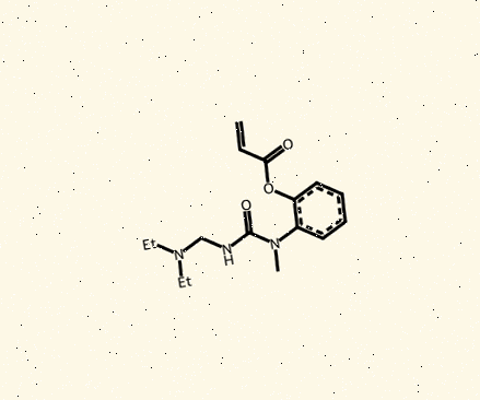 C=CC(=O)Oc1ccccc1N(C)C(=O)NCN(CC)CC